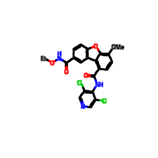 CCONC(=O)c1ccc2oc3c(OC)ccc(C(=O)Nc4c(Cl)cncc4Cl)c3c2c1